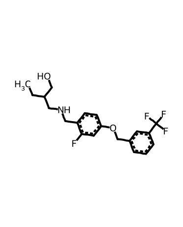 CCC(CO)CNCc1ccc(OCc2cccc(C(F)(F)F)c2)cc1F